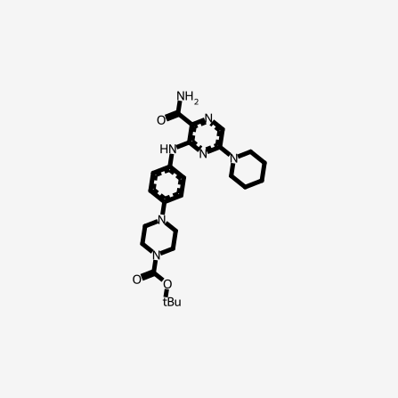 CC(C)(C)OC(=O)N1CCN(c2ccc(Nc3nc(N4CCCCC4)cnc3C(N)=O)cc2)CC1